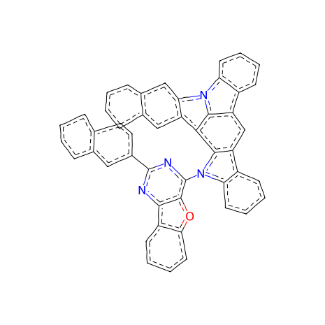 c1ccc2cc(-c3nc(-n4c5ccccc5c5cc6c7ccccc7n7c8cc9ccccc9cc8c(c54)c67)c4oc5ccccc5c4n3)ccc2c1